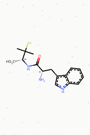 CC(C)(S)[C@H](NC(=O)[C@@H](N)Cc1c[nH]c2ccccc12)C(=O)O